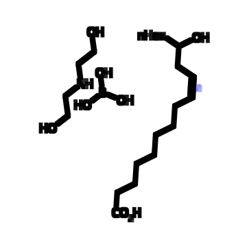 CCCCCCC(O)C/C=C\CCCCCCCC(=O)O.OB(O)O.OCCNCCO